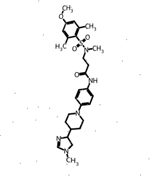 COc1cc(C)c(S(=O)(=O)N(C)CCC(=O)Nc2ccc(N3CCC(C4CN(C)C=N4)CC3)cc2)c(C)c1